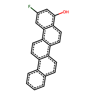 Oc1cc(F)cc2c1ccc1c2ccc2c3ccccc3ccc21